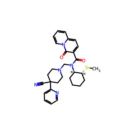 CS[C@@H]1CCCC[C@H]1N(CN1CCC(C#N)(c2ccccn2)CC1)C(=O)c1ccc2ccccn2c1=O